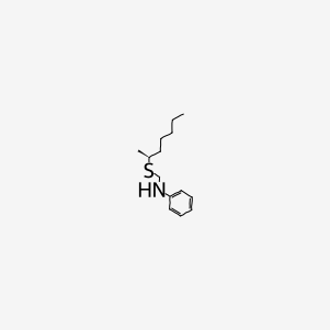 CCCCC[C@H](C)SCNc1ccccc1